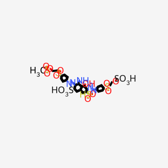 CS(=O)(=O)OCCS(=O)(=O)c1ccc(/N=N/c2c(S(=O)(=O)O)cc3cc([SH](=O)=O)c(/N=N/c4ccc(S(=O)(=O)CCOS(=O)(=O)O)cc4)c(O)c3c2N)cc1